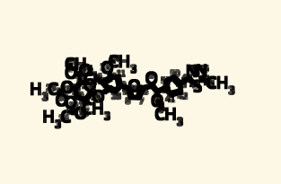 CCOC(C(=O)c1ccc(-c2cc(OC)c(Cl)c(O[C@H]3O[C@H](C(=O)OC)[C@@H](OC(C)=O)[C@H](OC(C)=O)[C@H]3C)c2)o1)c1ccc(-c2nnc(C)s2)cc1